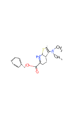 CN(C)C1=[C]SC2N=C(C(=O)OCc3ccccc3)CCC12